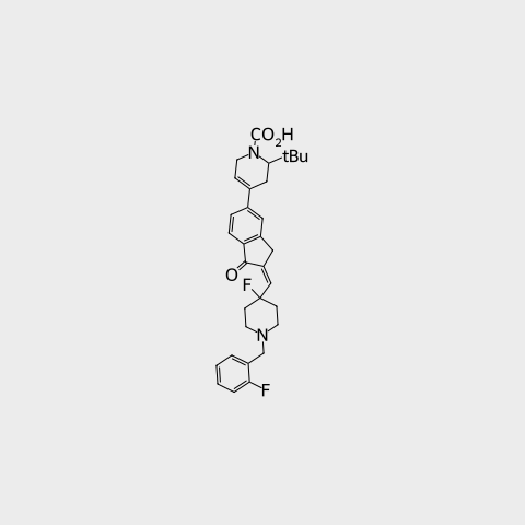 CC(C)(C)C1CC(c2ccc3c(c2)CC(=CC2(F)CCN(Cc4ccccc4F)CC2)C3=O)=CCN1C(=O)O